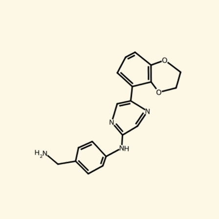 NCc1ccc(Nc2cnc(-c3cccc4c3OCCO4)cn2)cc1